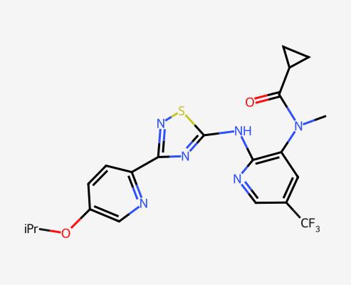 CC(C)Oc1ccc(-c2nsc(Nc3ncc(C(F)(F)F)cc3N(C)C(=O)C3CC3)n2)nc1